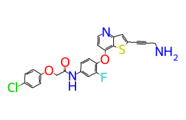 NCC#Cc1cc2nccc(Oc3ccc(NC(=O)COc4ccc(Cl)cc4)cc3F)c2s1